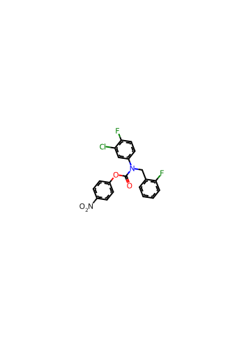 O=C(Oc1ccc([N+](=O)[O-])cc1)N(Cc1ccccc1F)c1ccc(F)c(Cl)c1